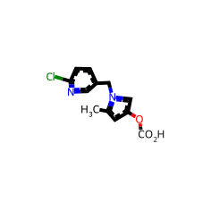 Cc1cc(OC(=O)O)cn1Cc1ccc(Cl)nc1